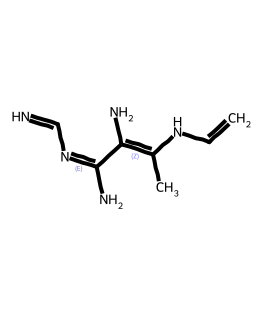 C=CN/C(C)=C(N)/C(N)=N\C=N